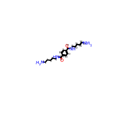 NCCCCCNC(=O)c1ccc(C(=O)NCCCCCN)cc1